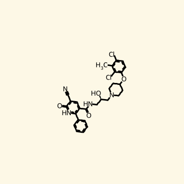 Cc1c(Cl)ccc(OC2CCN(C[C@H](O)CNC(=O)c3cc(C#N)c(=O)[nH]c3-c3ccccc3)CC2)c1Cl